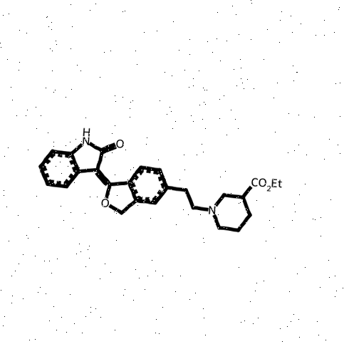 CCOC(=O)C1CCCN(CCc2ccc3c(c2)CO/C3=C2/C(=O)Nc3ccccc32)C1